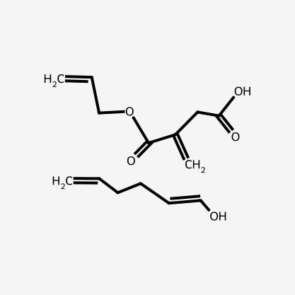 C=CCCC=CO.C=CCOC(=O)C(=C)CC(=O)O